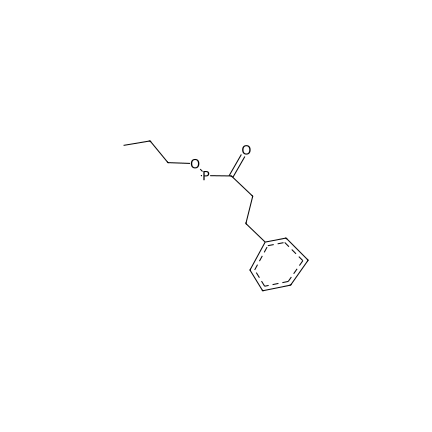 CCCO[P]C(=O)CCc1ccccc1